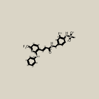 CS(=O)(=O)Nc1ccc(CNC(=O)C=Cc2ccc(C(F)(F)F)nc2Sc2ccccc2)cc1F